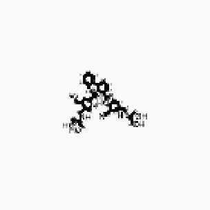 COCc1cc(C(=O)NC2(c3nc4cc(CNC(CO)CO)cc(C#N)c4o3)C=CC=C(c3ccccc3C)C2Cl)ncc1CNC(CO)CO